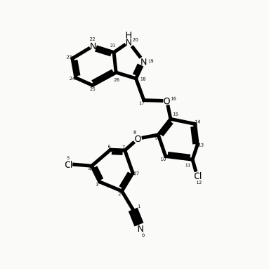 N#Cc1cc(Cl)cc(Oc2cc(Cl)ccc2OCc2n[nH]c3ncccc23)c1